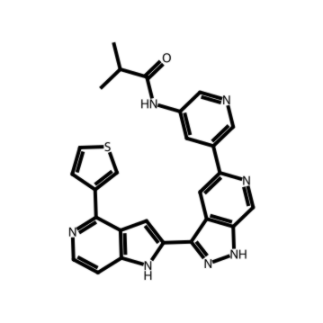 CC(C)C(=O)Nc1cncc(-c2cc3c(-c4cc5c(-c6ccsc6)nccc5[nH]4)n[nH]c3cn2)c1